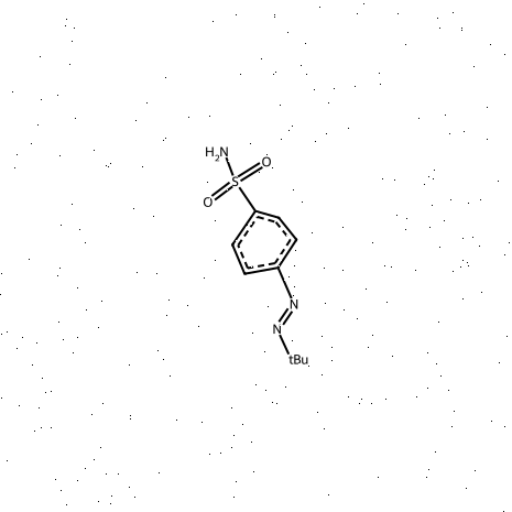 CC(C)(C)/N=N/c1ccc(S(N)(=O)=O)cc1